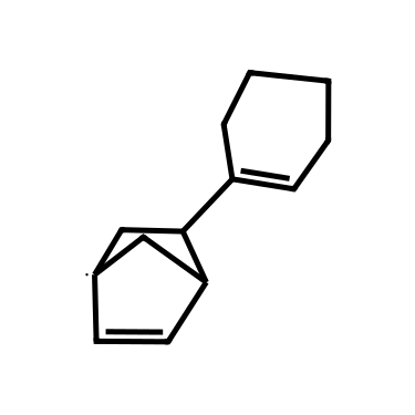 C1=CC2C[C]1CC2C1=CCCCC1